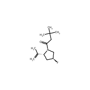 C=C(C)[C@H]1C[C@H](F)CN1C(=O)CC(C)(C)C